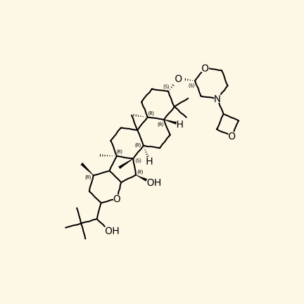 C[C@@H]1CC(C(O)C(C)(C)C)OC2C1[C@@]1(C)CCC34C[C@@]35CC[C@H](O[C@H]3CN(C6COC6)CCO3)C(C)(C)[C@@H]5CC[C@H]4[C@]1(C)[C@H]2O